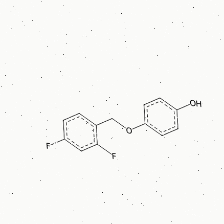 Oc1ccc(OCc2ccc(F)cc2F)cc1